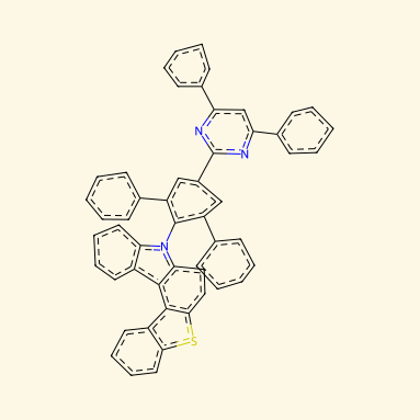 c1ccc(-c2cc(-c3ccccc3)nc(-c3cc(-c4ccccc4)c(-n4c5ccccc5c5c6c(ccc54)sc4ccccc46)c(-c4ccccc4)c3)n2)cc1